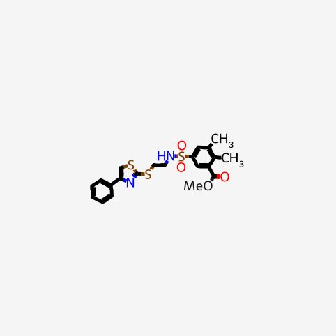 COC(=O)c1cc(S(=O)(=O)NCCSc2nc(-c3ccccc3)cs2)cc(C)c1C